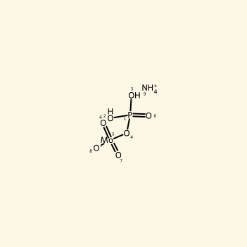 O=P(O)(O)[O][Mo](=[O])(=[O])[O-].[NH4+]